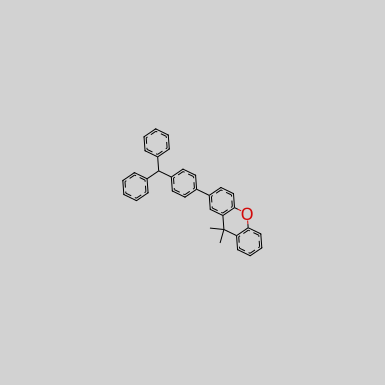 CC1(C)c2ccccc2Oc2ccc(-c3ccc(C(c4ccccc4)c4ccccc4)cc3)cc21